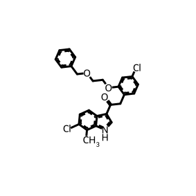 Cc1c(Cl)ccc2c(C(=O)Cc3ccc(Cl)cc3OCCOCc3ccccc3)c[nH]c12